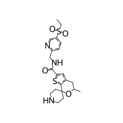 CCS(=O)(=O)c1ccc(CNC(=O)c2cc3c(s2)C2(CCNCC2)OC(C)C3)nc1